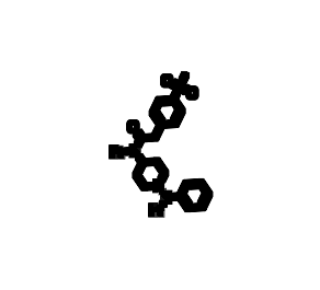 CCN(C(=O)Cc1ccc(S(C)(=O)=O)cc1)C1CCN(N(CC)c2ccccc2)CC1